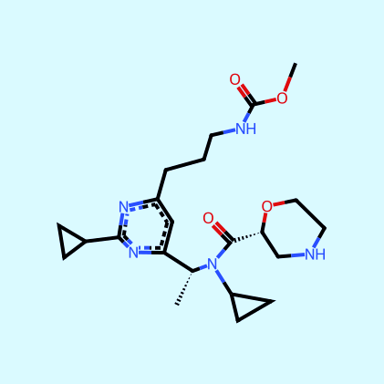 COC(=O)NCCCc1cc([C@@H](C)N(C(=O)[C@H]2CNCCO2)C2CC2)nc(C2CC2)n1